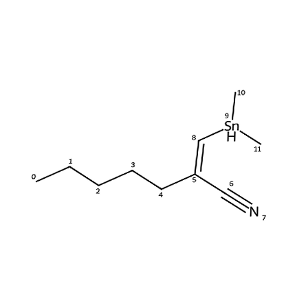 CCCCCC(C#N)=[CH][SnH]([CH3])[CH3]